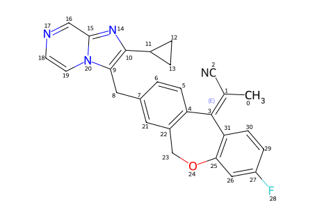 C/C(C#N)=C1/c2ccc(Cc3c(C4CC4)nc4cnccn34)cc2COc2cc(F)ccc21